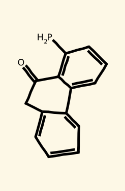 O=C1Cc2ccccc2-c2cccc(P)c21